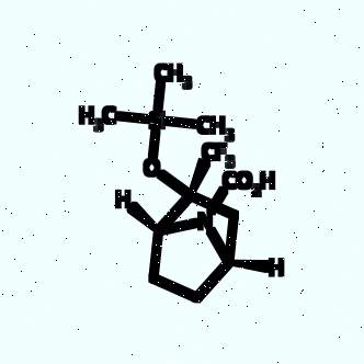 C[Si](C)(C)O[C@]1(C(F)(F)F)C[C@@H]2CC[C@H]1N2C(=O)O